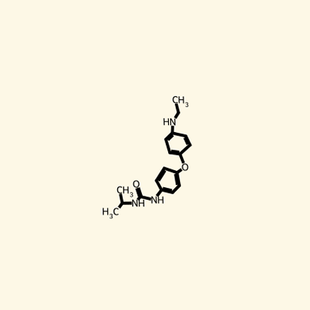 CCNc1ccc(Oc2ccc(NC(=O)NC(C)C)cc2)cc1